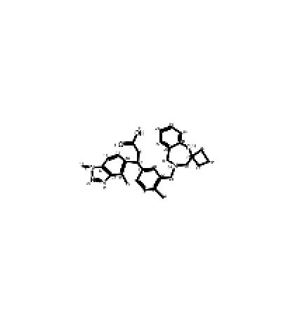 Cc1ccc(C(CC(=O)O)c2ccc3c(nnn3C)c2C)cc1CN1Cc2ccccc2OC2(CCC2)C1